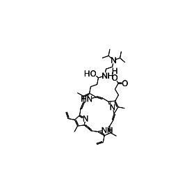 C=CC1=C(C)c2cc3[nH]c(cc4nc(cc5[nH]c(cc1n2)c(C)c5CCC(O)NCCN(C(C)C)C(C)C)C(CCC(=O)O)=C4C)c(C)c3C=C